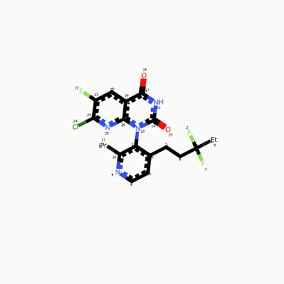 CCC(F)(F)CCc1ccnc(C(C)C)c1-n1c(=O)[nH]c(=O)c2cc(F)c(Cl)nc21